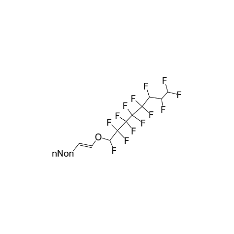 CCCCCCCCCC=COC(F)C(F)(F)C(F)(F)C(F)(F)C(F)(F)C(F)C(F)C(F)F